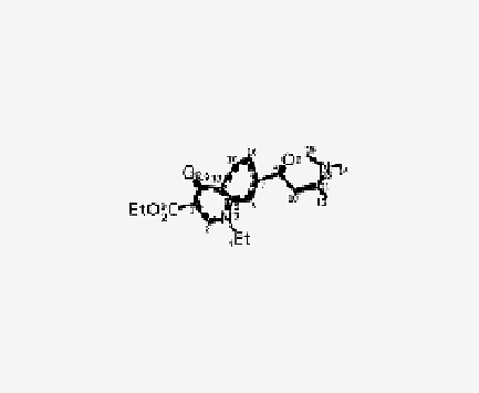 CCOC(=O)c1cn(CC)c2cc(C(=O)/C=C(/C)N(C)C)ccc2c1=O